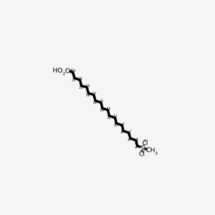 C[Si](Cl)(Cl)CCCCCCCCCCCCCCCCCCCCC(=O)O